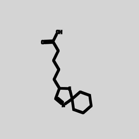 O=C(O)CCCCC1C=NC2(CCCCC2)S1